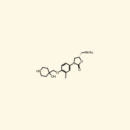 CC(=O)NC[C@H]1CN(c2ccc(OCC3(O)CCNCC3)c(F)c2)C(=O)O1